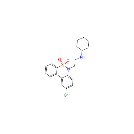 O=S1(=O)c2ccccc2-c2cc(Br)ccc2N1CCNC1CCCCC1